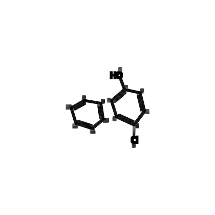 Oc1ccc(Cl)cc1.c1ccccc1